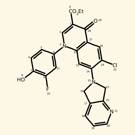 CCOC(=O)c1cn(-c2ccc(O)c(F)c2)c2cc(N3Cc4cccnc4C3)c(Cl)cc2c1=O